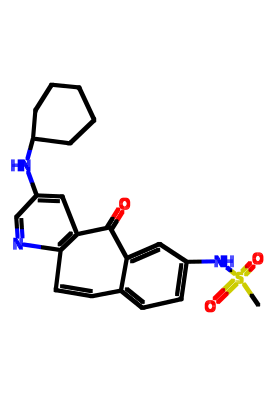 CS(=O)(=O)Nc1ccc2ccc3ncc(NC4CCCCC4)cc3c(=O)c2c1